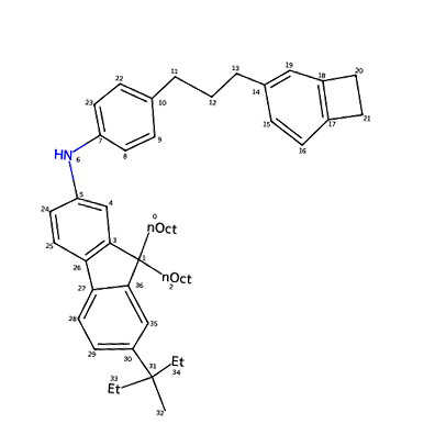 CCCCCCCCC1(CCCCCCCC)c2cc(Nc3ccc(CCCc4ccc5c(c4)CC5)cc3)ccc2-c2ccc(C(C)(CC)CC)cc21